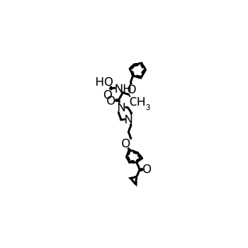 C[C@H](OCc1ccccc1)[C@@H](NC(=O)O)C(=O)N1CCN(CCCOc2ccc(C(=O)C3CC3)cc2)CC1